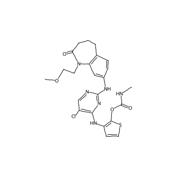 CNC(=O)Oc1sccc1Nc1nc(Nc2ccc3c(c2)N(CCOC)C(=O)CCC3)ncc1Cl